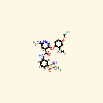 Cc1cc(OCF)ccc1Oc1nnc(C(F)(F)F)cc1C(=O)Nc1cccc(S(C)(=N)=O)c1